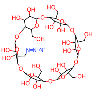 [N-]=[N+]=NCC1OC2OC3C(CO)OC(OC4C(CO)OC(OC5C(CO)OC(OC6C(CO)OC(OC7C(CO)OC(OC1C(O)C2O)C(O)C7O)C(O)C6O)C(O)C5O)C(O)C4O)C(O)C3O